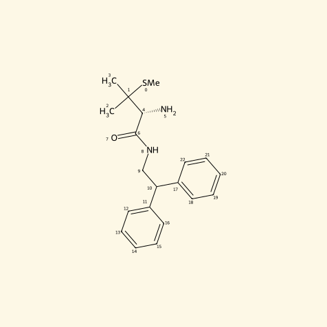 CSC(C)(C)[C@H](N)C(=O)NCC(c1ccccc1)c1ccccc1